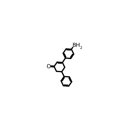 Bc1ccc(C2=CC(=O)CC(c3ccccc3)C2)cc1